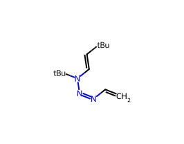 C=C/N=N\N(/C=C/C(C)(C)C)C(C)(C)C